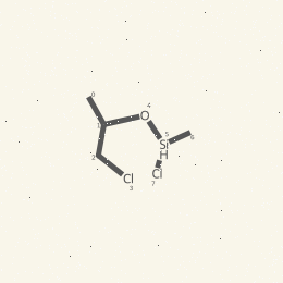 CC(CCl)O[SiH](C)Cl